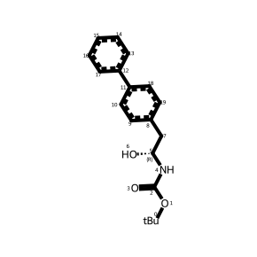 CC(C)(C)OC(=O)N[C@H](O)Cc1ccc(-c2ccccc2)cc1